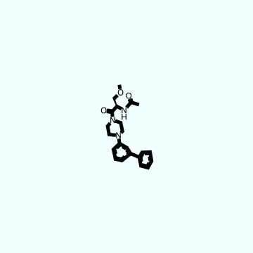 COC[C@@H](NC(C)=O)C(=O)N1CCN(c2cccc(-c3ccccc3)c2)CC1